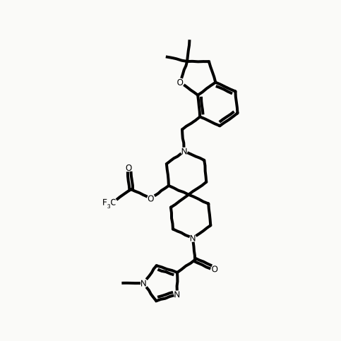 Cn1cnc(C(=O)N2CCC3(CCN(Cc4cccc5c4OC(C)(C)C5)CC3OC(=O)C(F)(F)F)CC2)c1